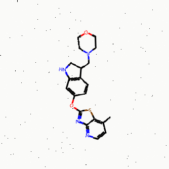 Cc1ccnc2nc(Oc3ccc4c(c3)NCC4CN3CCOCC3)sc12